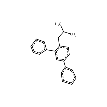 CC(C)Cc1ccc(-c2ccccc2)cc1-c1ccccc1